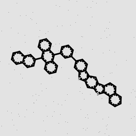 c1cc(-c2ccc3c(c2)sc2cc4sc5c6ccccc6ccc5c4cc23)cc(-c2c3ccccc3c(-c3ccc4ccccc4c3)c3ccccc23)c1